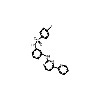 O=S(=O)(Nc1cccc(Nc2nccc(-c3ccccn3)n2)c1)c1ccc(F)cc1